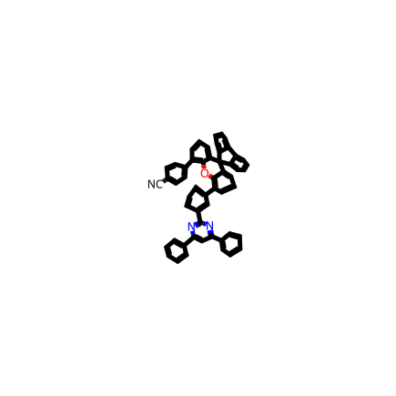 N#Cc1ccc(-c2cccc3c2Oc2c(-c4cccc(-c5nc(-c6ccccc6)cc(-c6ccccc6)n5)c4)cccc2C32c3ccccc3-c3ccccc32)cc1